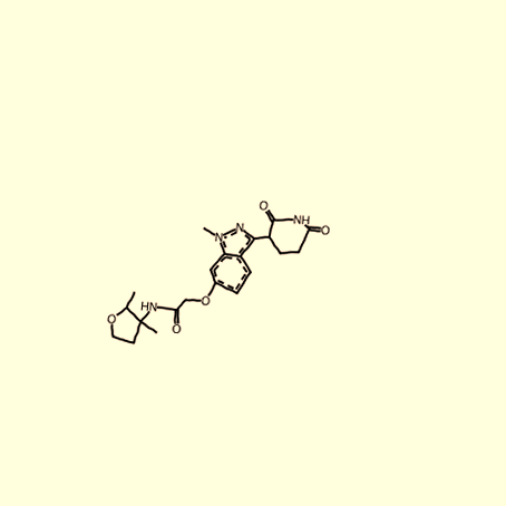 CC1OCCC1(C)NC(=O)COc1ccc2c(C3CCC(=O)NC3=O)nn(C)c2c1